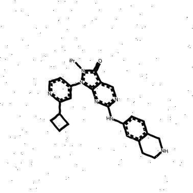 CC(C)n1c(=O)c2cnc(Nc3ccc4c(c3)CCNC4)nc2n1-c1ccnc(C2CCC2)c1